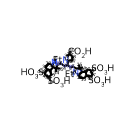 CCN1/C(=C/C=C(/C=C/C2=[N+](CC)c3ccc4c(S(=O)(=O)O)cc(S(=O)(=O)O)cc4c3C2(C)C)c2ccc(C(=O)O)cn2)C(C)(C)c2c1ccc1c(S(=O)(=O)O)cc(S(=O)(=O)O)cc21